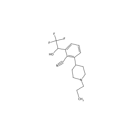 CCCN1CCC(c2cccc(C(O)C(F)(F)F)c2C#N)CC1